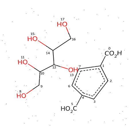 O=C(O)c1ccc(C(=O)O)cc1.OCC(O)C(O)C(O)CO